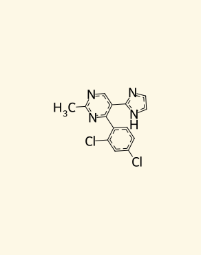 Cc1ncc(-c2ncc[nH]2)c(-c2ccc(Cl)cc2Cl)n1